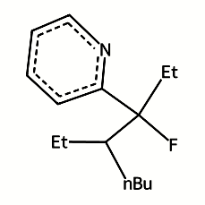 CCCCC(CC)C(F)(CC)c1ccccn1